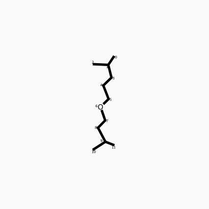 CC(C)CCCOCCC(C)C